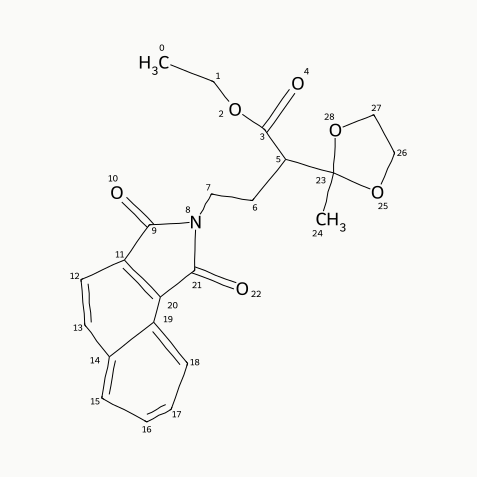 CCOC(=O)C(CCN1C(=O)c2ccc3ccccc3c2C1=O)C1(C)OCCO1